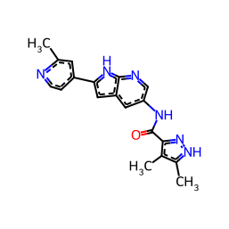 Cc1cc(-c2cc3cc(NC(=O)c4n[nH]c(C)c4C)cnc3[nH]2)ccn1